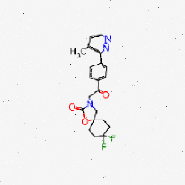 Cc1ccnnc1-c1ccc(C(=O)CN2CC3(CCC(F)(F)CC3)OC2=O)cc1